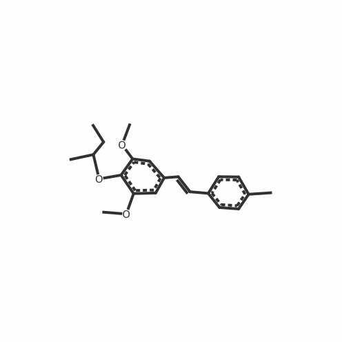 CCC(C)Oc1c(OC)cc(/C=C/c2ccc(C)cc2)cc1OC